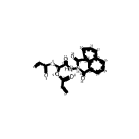 C=CC(=O)OC(OC(=O)C=C)C(=O)NN1C(=O)c2cccc3cccc(c23)C1=O